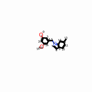 COc1cc(Cn2ccc3ccc(C)cc32)cc(OC)c1